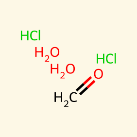 C=O.Cl.Cl.O.O